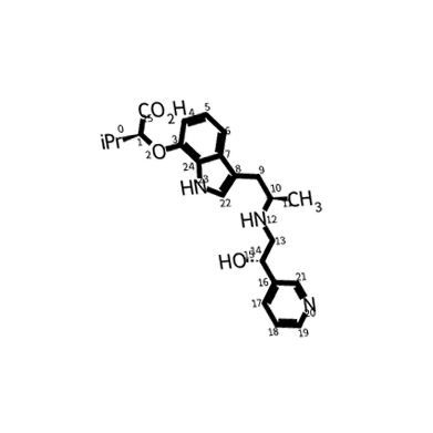 CC(C)[C@H](Oc1cccc2c(C[C@@H](C)NC[C@@H](O)c3cccnc3)c[nH]c12)C(=O)O